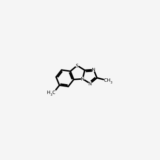 Cc1ccc2sc3nc(C)nn3c2c1